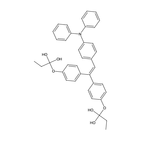 CCC(O)(O)Oc1ccc(C(=Cc2ccc(N(c3ccccc3)c3ccccc3)cc2)c2ccc(OC(O)(O)CC)cc2)cc1